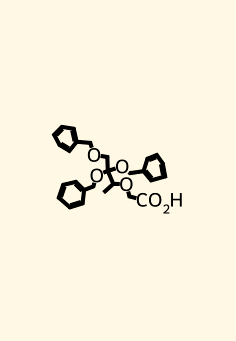 CC(OCC(=O)O)C(COCc1ccccc1)(OCc1ccccc1)OCc1ccccc1